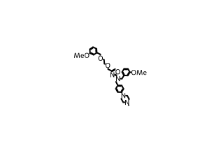 COc1cccc(COCCOCc2coc(N(Cc3ccc(N4CCN(C)CC4)cc3)Cc3cccc(OC)c3)n2)c1